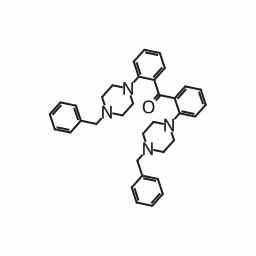 O=C(c1ccccc1N1CCN(Cc2ccccc2)CC1)c1ccccc1N1CCN(Cc2ccccc2)CC1